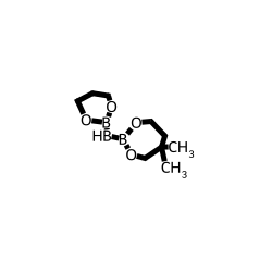 CC1(C)CCOB(BB2OCCCO2)OC1